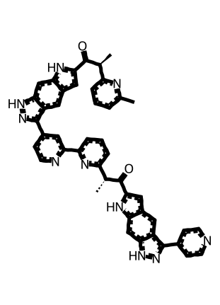 Cc1cccc([C@H](C)C(=O)c2cc3cc4c(-c5ccnc(-c6cccc([C@@H](C)C(=O)c7cc8cc9c(-c%10ccncc%10)n[nH]c9cc8[nH]7)n6)c5)n[nH]c4cc3[nH]2)n1